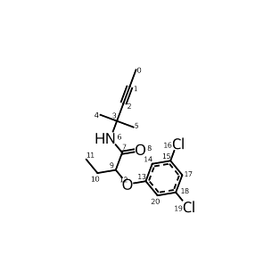 CC#CC(C)(C)NC(=O)C(CC)Oc1cc(Cl)cc(Cl)c1